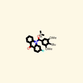 COc1cc(C(O[SiH](C)C)n2c3ccccc3c(=O)c3ccc(F)cc32)cc(OC)c1C(C)(C)C